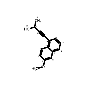 COc1ccc2c(C#CC(C)O)cccc2c1